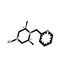 CC(C)N1C[C@@H](C)N(Cc2ccccn2)[C@@H](C)C1